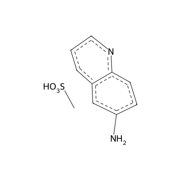 CS(=O)(=O)O.Nc1ccc2ncccc2c1